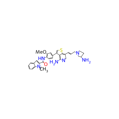 COc1cc(-c2csc3c(C=CCN4CCC(N)C4)cnc(N)c23)ccc1NC(=O)c1cc2ccccc2n1C